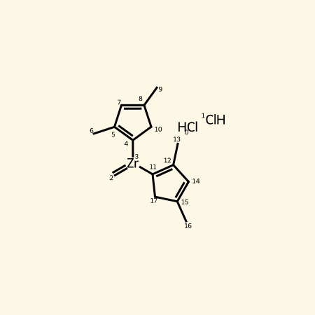 Cl.Cl.[CH2]=[Zr]([C]1=C(C)C=C(C)C1)[C]1=C(C)C=C(C)C1